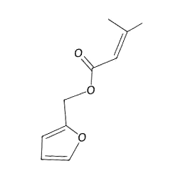 CC(C)=CC(=O)OCc1ccco1